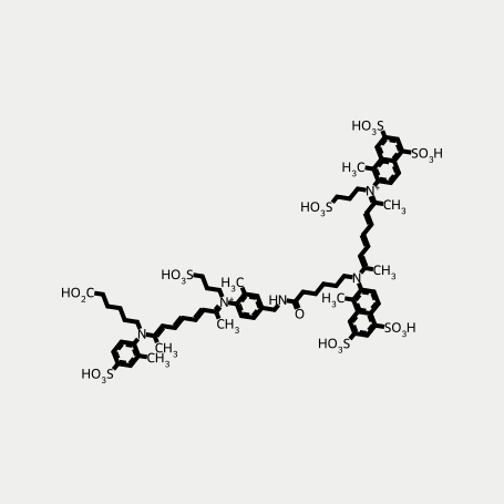 C\C(=C/C=C/C=C/C(C)=[N+](\CCCS(=O)(=O)O)c1ccc(CNC(=O)CCCCCN(/C(C)=C/C=C/C=C/C(C)=[N+](\CCCS(=O)(=O)O)c2ccc3c(S(=O)(=O)O)cc(S(=O)(=O)O)cc3c2C)c2ccc3c(S(=O)(=O)O)cc(S(=O)(=O)O)cc3c2C)cc1C)N(CCCCCC(=O)O)c1ccc(S(=O)(=O)O)cc1C